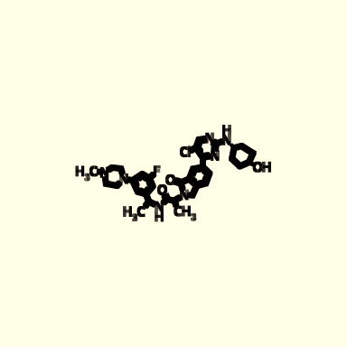 CC(NC(=O)C(C)N1Cc2ccc(-c3nc(N[C@H]4CC[C@H](O)CC4)ncc3Cl)cc2C1=O)c1cc(F)cc(N2CCN(C)CC2)c1